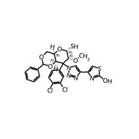 CO[C@H]1[C@@H](S)O[C@@H]2COC(c3ccccc3)O[C@@H]2C1(c1ccc(Cl)c(Cl)c1)n1cc(-c2csc(O)n2)nn1